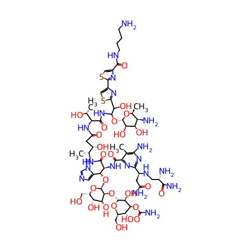 Cc1c(N)nc([C@H](CC(N)=O)NC[C@H](N)C(N)=O)nc1C(=O)N[C@H](C(=O)N[C@H](C)[C@@H](O)CC(=O)N[C@H](C(=O)NC(O[C@@H]1O[C@@H](C)[C@@H](N)[C@@H](O)[C@H]1O)C(O)c1nc(-c2nc(C(=O)NCCCCN)cs2)cs1)[C@@H](C)O)[C@@H](O[C@@H]1O[C@@H](CO)[C@@H](O)[C@H](O)[C@@H]1O[C@H]1O[C@H](CO)[C@@H](O)[C@H](OC(N)=O)[C@@H]1O)c1cnc[nH]1